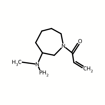 C=CC(=O)N1CCCCC(N(C)P)C1